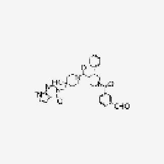 Cn1ccc2c(=O)n(CC3(O)CCN(C(=O)[C@@H]4CCN(C(=O)c5cccc(C=O)c5)C[C@H]4c4ccccc4)CC3)cnc21